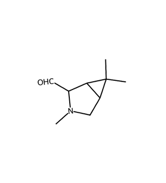 CN1CC2C(C1C=O)C2(C)C